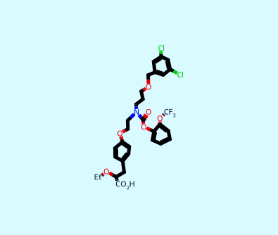 CCOC(Cc1ccc(OCCN(CCCOCc2cc(Cl)cc(Cl)c2)C(=O)Oc2ccccc2OC(F)(F)F)cc1)C(=O)O